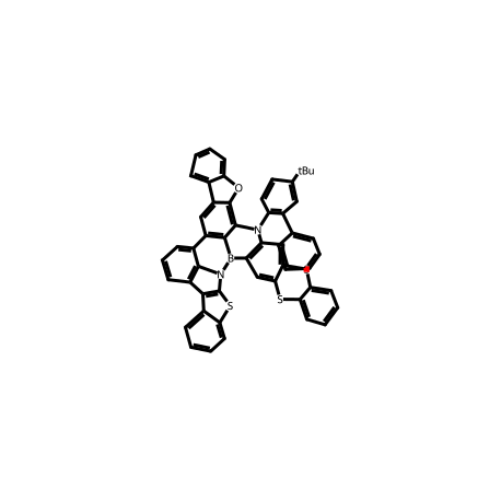 CC(C)(C)c1ccc(N2c3cc4c(cc3B3c5c(cc6c(oc7ccccc76)c52)-c2cccc5c6c7ccccc7sc6n3c25)Sc2ccccc2S4)c(-c2ccccc2)c1